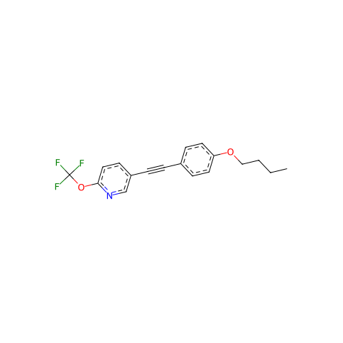 CCCCOc1ccc(C#Cc2ccc(OC(F)(F)F)nc2)cc1